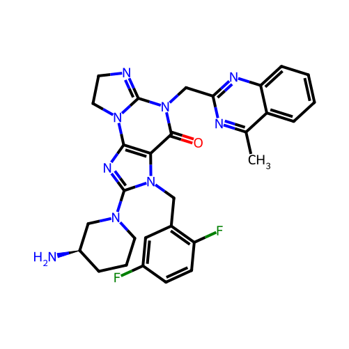 Cc1nc(CN2C(=O)c3c(nc(N4CCC[C@@H](N)C4)n3Cc3cc(F)ccc3F)N3CCN=C23)nc2ccccc12